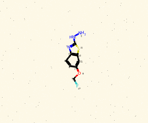 NNc1nc2ccc(OCF)cc2s1